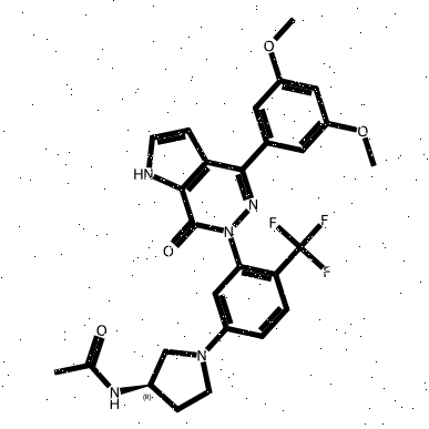 COc1cc(OC)cc(-c2nn(-c3cc(N4CC[C@@H](NC(C)=O)C4)ccc3C(F)(F)F)c(=O)c3[nH]ccc23)c1